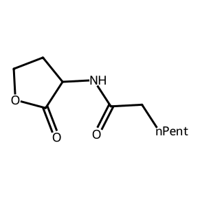 CCCCCCC(=O)NC1CCOC1=O